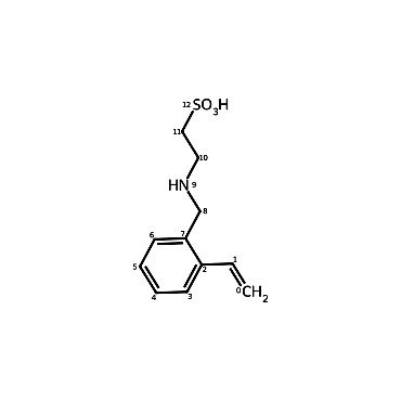 C=Cc1ccccc1CNCCS(=O)(=O)O